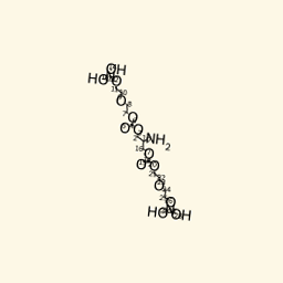 NC(COC(=O)OCCOCCON(O)O)COC(=O)OCCOCCON(O)O